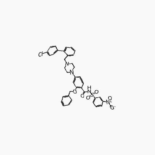 O=C(NS(=O)(=O)c1cccc([N+](=O)[O-])c1)c1ccc(N2CCN(Cc3ccccc3-c3ccc(Cl)cc3)CC2)cc1OCc1ccccc1